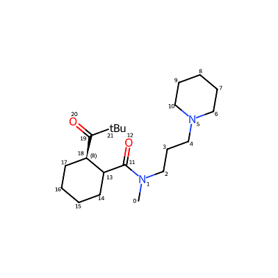 CN(CCCN1CCCCC1)C(=O)C1CCCC[C@H]1C(=O)C(C)(C)C